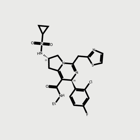 CCNC(=O)C1=C2C[C@H](NS(=O)(=O)C3CC3)CN2C(Cc2nccs2)=N[C@H]1c1ccc(F)cc1Cl